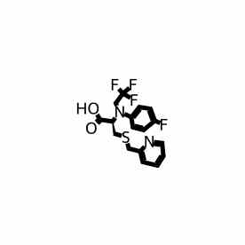 O=C(O)[C@H](CSCc1ccccn1)N(CC(F)(F)F)c1ccc(F)cc1